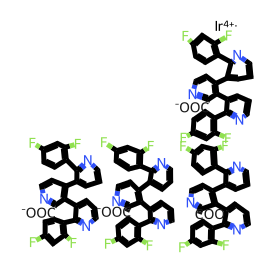 O=C([O-])c1nccc(-c2cccnc2-c2ccc(F)cc2F)c1-c1cccnc1-c1ccc(F)cc1F.O=C([O-])c1nccc(-c2cccnc2-c2ccc(F)cc2F)c1-c1cccnc1-c1ccc(F)cc1F.O=C([O-])c1nccc(-c2cccnc2-c2ccc(F)cc2F)c1-c1cccnc1-c1ccc(F)cc1F.O=C([O-])c1nccc(-c2cccnc2-c2ccc(F)cc2F)c1-c1cccnc1-c1ccc(F)cc1F.[Ir+4]